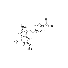 CCCCOc1nc(N)c2nc(OC)n(CCN3CCN(C(=O)OCC(C)C)CC3)c2n1